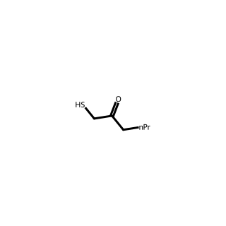 CCCCC(=O)CS